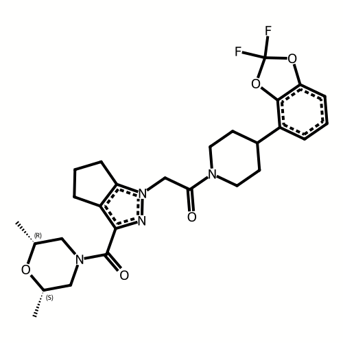 C[C@@H]1CN(C(=O)c2nn(CC(=O)N3CCC(c4cccc5c4OC(F)(F)O5)CC3)c3c2CCC3)C[C@H](C)O1